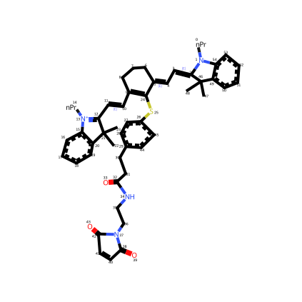 CCCN1/C(=C/C=C2\CCCC(/C=C/C3=[N+](CCC)c4ccccc4C3(C)C)=C2Sc2ccc(CCC(=O)NCCN3C(=O)C=CC3=O)cc2)C(C)(C)c2ccccc21